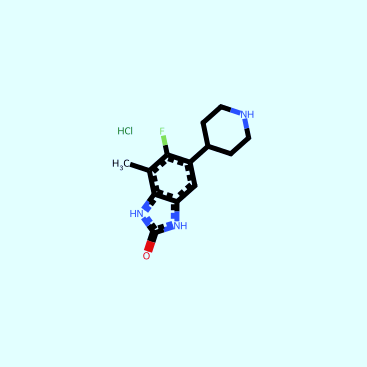 Cc1c(F)c(C2CCNCC2)cc2[nH]c(=O)[nH]c12.Cl